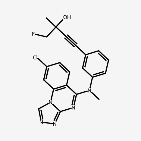 CN(c1cccc(C#CC(C)(O)CF)c1)c1nc2nncn2c2cc(Cl)ccc12